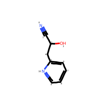 N#CC(O)Cc1ccccn1